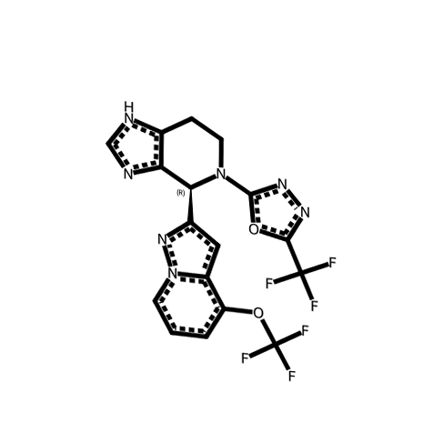 FC(F)(F)Oc1cccn2nc([C@H]3c4nc[nH]c4CCN3c3nnc(C(F)(F)F)o3)cc12